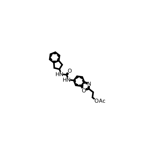 CC(=O)OCCc1nc2ccc(NC(=O)NC3Cc4ccccc4C3)cc2o1